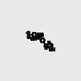 COC(=O)c1ccc(NS(=O)(=O)c2ccc(-c3cnn4c(O)ncnc34)cc2)cc1O